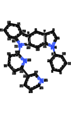 c1ccc(-n2ccc3cc4c5ccccc5n(-c5cccc(-c6cccnc6)n5)c4cc32)cc1